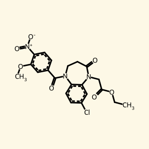 CCOC(=O)CN1C(=O)CCN(C(=O)c2ccc([N+](=O)[O-])c(OC)c2)c2ccc(Cl)cc21